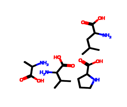 CC(C)C(N)C(=O)O.CC(C)CC(N)C(=O)O.CC(N)C(=O)O.O=C(O)C1CCCN1